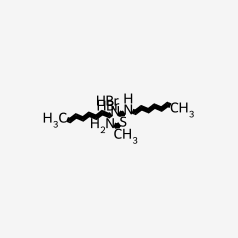 Br.Br.CCCCCCCC/N=C(/NCCCCCCC)SC(C)N